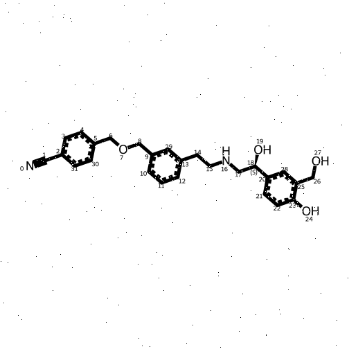 N#Cc1ccc(COCc2cccc(CCNC[C@@H](O)c3ccc(O)c(CO)c3)c2)cc1